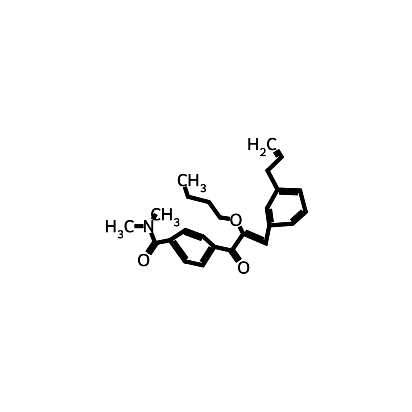 C=CCc1cccc(C=C(OCCCC)C(=O)c2ccc(C(=O)N(C)C)cc2)c1